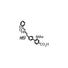 CNc1cc(C(=O)O)ccc1-c1ccc(CCNC[C@H](O)c2ccccc2)cc1.Cl.Cl